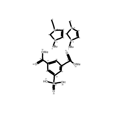 CCCCN1C=CN(C)C1.CCCCN1C=CN(C)C1.COC(=O)c1cc(C(=O)OC)cc(P(=O)(O)O)c1